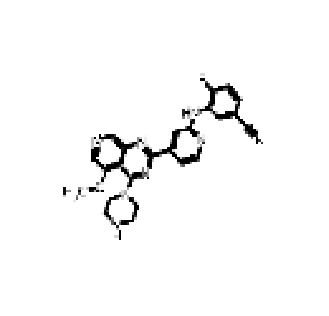 COc1cncc2nc(-c3ccnc(Nc4cc(C#N)ccc4F)c3)nc(N3CCNCC3)c12